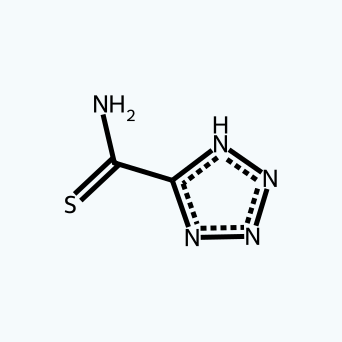 NC(=S)c1nnn[nH]1